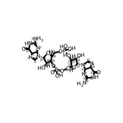 NC1=NC2C(N=CN2[C@@H]2O[C@@H]3CO[PH](O)(O)O[C@H]4[C@@H](O)[C@H](N5C=NC6C(=O)NC(N)=NC65)O[C@@H]4COP(=O)(O)O[C@H]3[C@H]2O)C(=O)N1